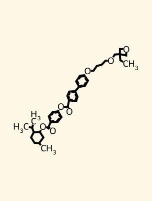 CCC1(COCCCCOc2ccc(-c3ccc(C(=O)Oc4ccc(C(=O)OC5CC(C)CCC5C(C)C)cc4)cc3)cc2)COC1